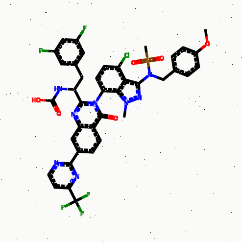 COc1ccc(CN(c2nn(C)c3c(-n4c(C(Cc5cc(F)cc(F)c5)NC(=O)O)nc5cc(-c6nccc(C(F)(F)F)n6)ccc5c4=O)ccc(Cl)c23)S(C)(=O)=O)cc1